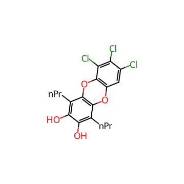 CCCc1c(O)c(O)c(CCC)c2c1Oc1cc(Cl)c(Cl)c(Cl)c1O2